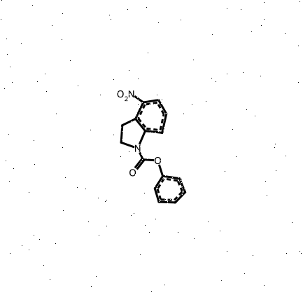 O=C(Oc1ccccc1)N1CCc2c1cccc2[N+](=O)[O-]